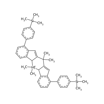 CC1(C)C2=Cc3c(-c4ccc([Si](C)(C)C)cc4)cccc3[CH]2[Hf]([CH3])([CH3])[CH]2C1=Cc1c(-c3ccc([Si](C)(C)C)cc3)cccc12